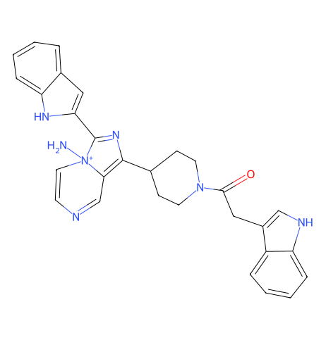 N[N+]12C=CN=CC1=C(C1CCN(C(=O)Cc3c[nH]c4ccccc34)CC1)N=C2c1cc2ccccc2[nH]1